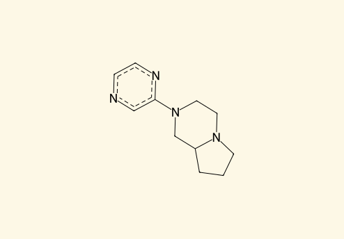 c1cnc(N2CCN3CCCC3C2)cn1